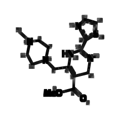 COC(=O)C1=C(CN2CCN(C)CC2)NC(c2nccs2)=NC1